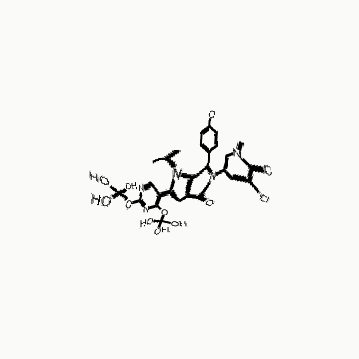 CC(C)n1c(-c2cnc(OC(O)(O)O)nc2OC(O)(O)O)cc2c1C(c1ccc(Cl)cc1)N(c1cc(Cl)c(=O)n(C)c1)C2=O